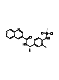 Cc1cc([C@@H](C)NC(=O)c2cnc3ccccc3c2)ccc1NS(C)(=O)=O